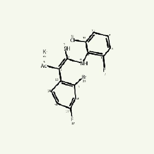 CC(=O)C(=C(S)Nc1c(F)cccc1Cl)c1ccc(F)cc1Br.[K]